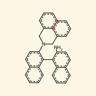 Nc1ccc2ccccc2c1-c1c(N(Cc2ccccc2)Cc2ccccc2)ccc2ccccc12